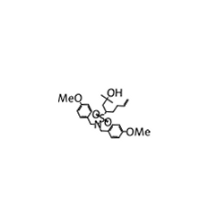 C=CCCC(CC(C)(C)O)S(=O)(=O)N(Cc1ccc(OC)cc1)Cc1ccc(OC)cc1